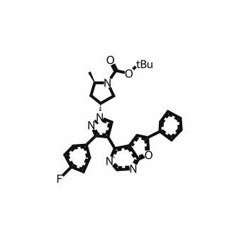 C[C@@H]1C[C@@H](n2cc(-c3ncnc4oc(-c5ccccc5)cc34)c(-c3ccc(F)cc3)n2)CN1C(=O)OC(C)(C)C